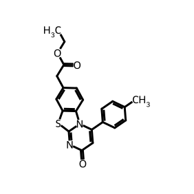 CCOC(=O)Cc1ccc2c(c1)sc1nc(=O)cc(-c3ccc(C)cc3)n12